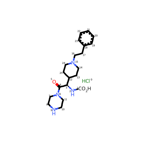 Cl.O=C(O)N[C@@H](C(=O)N1CCNCC1)C1CCN(CCc2ccccc2)CC1